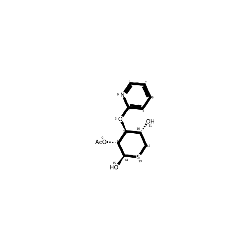 CC(=O)O[C@@H]1[C@@H](Oc2ccccn2)[C@H](O)CS[C@H]1O